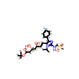 CC(C)n1c(NCS(C)(=O)=O)nc(-c2ccc(F)cc2)c1/C=C/[C@@H](O)C[C@@H](O)CC(=O)OC(C)(C)C